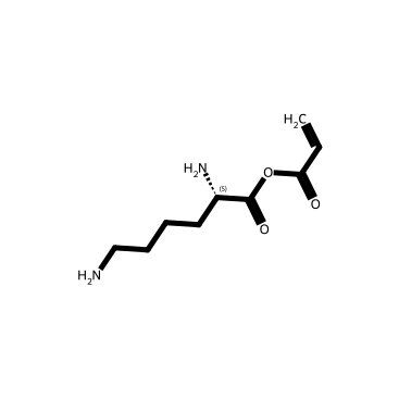 C=CC(=O)OC(=O)[C@@H](N)CCCCN